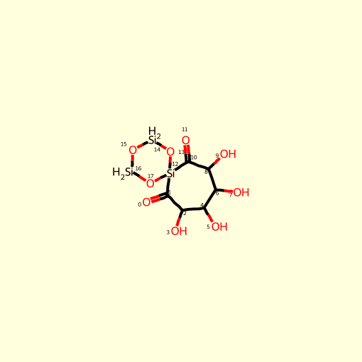 O=C1C(O)C(O)C(O)C(O)C(=O)[Si]12O[SiH2]O[SiH2]O2